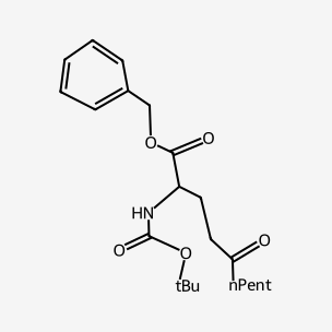 CCCCCC(=O)CCC(NC(=O)OC(C)(C)C)C(=O)OCc1ccccc1